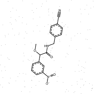 COC(C(=O)NCc1ccc(C#N)cc1)c1cccc([N+](=O)[O-])c1